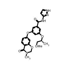 COC[C@H](C)Oc1cc(Oc2ccc3c(c2)OCN(C)C3=O)cc(C(=O)Nc2cc[nH]n2)c1